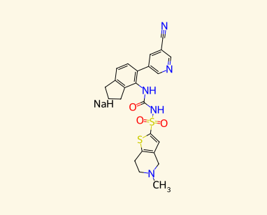 CN1CCc2sc(S(=O)(=O)NC(=O)Nc3c(-c4cncc(C#N)c4)ccc4c3CCC4)cc2C1.[NaH]